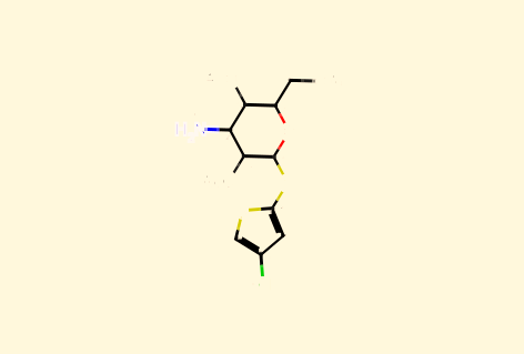 CC(=O)OCC1OC(Sc2cc(Cl)cs2)C(OC(C)=O)C(N)C1OC(C)=O